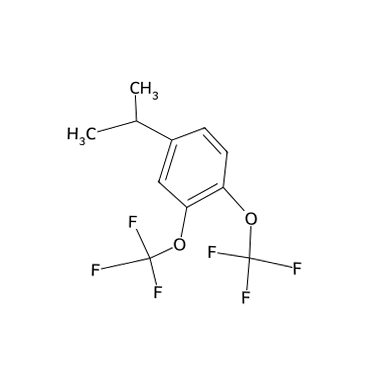 CC(C)c1ccc(OC(F)(F)F)c(OC(F)(F)F)c1